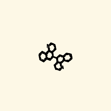 c1ccc2c(c1)cc(-c1cc3ccccc3c3ncccc13)c1cccnc12